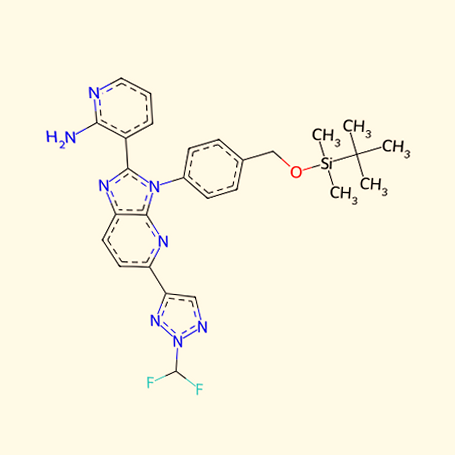 CC(C)(C)[Si](C)(C)OCc1ccc(-n2c(-c3cccnc3N)nc3ccc(-c4cnn(C(F)F)n4)nc32)cc1